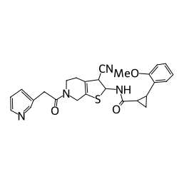 COc1ccccc1C1CC1C(=O)NC1SC2=C(CCN(C(=O)Cc3cccnc3)C2)C1C#N